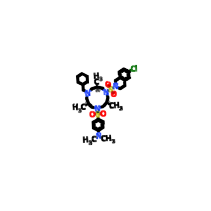 C[C@H]1CN(CC2CCCCC2)C[C@H](C)CN(S(=O)(=O)N2CCc3cc(Cl)ccc3C2)C[C@@H](C)CN(S(=O)(=O)c2ccc(N(C)C)cc2)C1